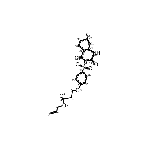 C=CCOC(=O)CCOc1ccc(S(=O)(=O)n2c(=O)[nH]c3cc(Cl)ccc3c2=O)cc1